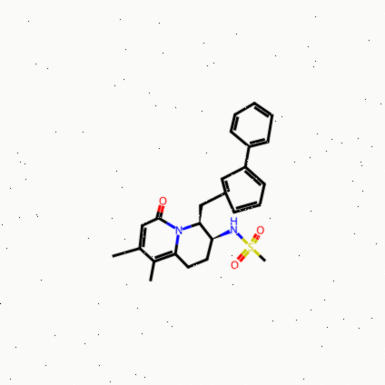 Cc1cc(=O)n2c(c1C)CC[C@H](NS(C)(=O)=O)[C@@H]2Cc1cccc(-c2ccccc2)c1